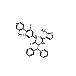 COc1cnccc1-c1ccc(NC(=O)C(NC(=O)c2ccnn2C)C(c2ccccc2)c2ccccc2)cc1F